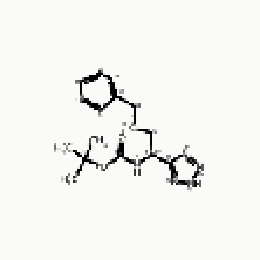 CC(C)(C)OC(=O)N[C@@H](COCc1ccccc1)c1nn[nH]n1